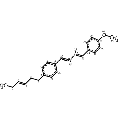 CC/C=C/CCc1ccc(/C=N/N=C/c2ccc(OC)cc2)cc1